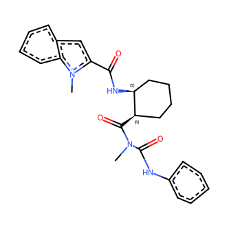 CN(C(=O)Nc1ccccc1)C(=O)[C@@H]1CCCC[C@@H]1NC(=O)c1cc2ccccc2n1C